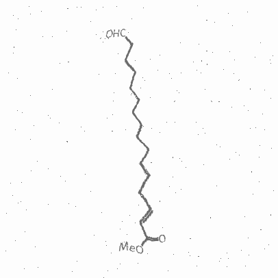 COC(=O)/C=C/CCCCCCCCCCCCC=O